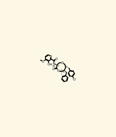 COc1ccnc(C(=O)N[C@H]2COC[C@H](Cc3ccc(Cl)cc3)[C@@H](Cc3ccccc3)[C@H](C)OC2=O)c1O